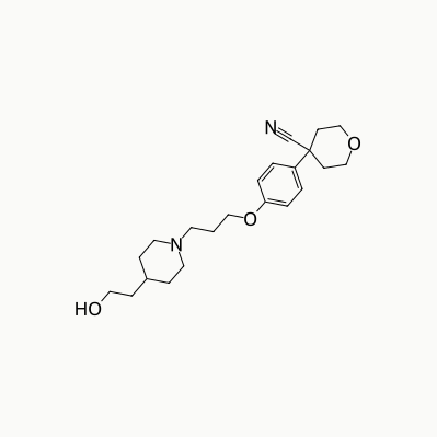 N#CC1(c2ccc(OCCCN3CCC(CCO)CC3)cc2)CCOCC1